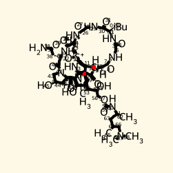 CC[C@H](C)[C@H]1NC(=O)CNC(=O)[C@@H]2Cc3c([nH]c4cc(O)ccc34)[S+]([O-])C[C@H](NC(=O)CNC1=O)C(=O)N[C@@H](CC(N)=O)C(=O)N1C[C@H](O)C[C@H]1C(=O)N[C@@H]([C@@H](C)[C@@H](O)COC(=O)NC(C)CC(C)CN(C)C)C(=O)N2